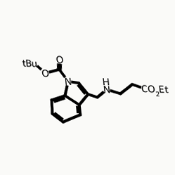 CCOC(=O)CCNCc1cn(C(=O)OC(C)(C)C)c2ccccc12